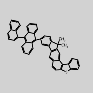 CC1(C)c2ccc(-c3c4ccccc4c(-c4cccc5ccccc45)c4ccccc34)cc2-c2cc3ccc4sc5ccccc5c4c3cc21